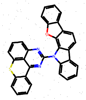 c1ccc2c(c1)Sc1cccc3nc(-n4c5ccccc5c5ccc6c7ccccc7oc6c54)nc-2c13